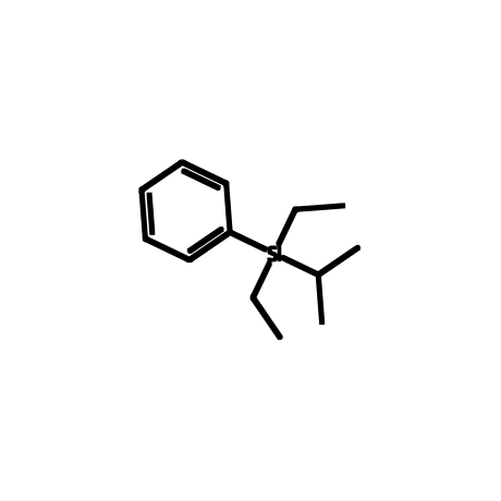 CC[Si](CC)(c1ccccc1)C(C)C